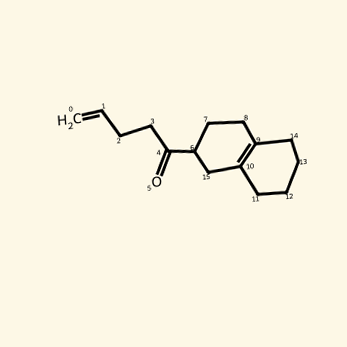 C=CCCC(=O)C1CCC2=C(CCCC2)C1